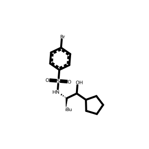 CC[C@H](C)[C@H](NS(=O)(=O)c1ccc(Br)cc1)C(O)C1CCCC1